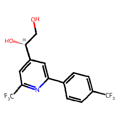 OC[C@@H](O)c1cc(-c2ccc(C(F)(F)F)cc2)nc(C(F)(F)F)c1